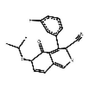 N#CC1[N]C=C2C=CC(OC(F)F)C(=O)C2=C1c1cccc(F)c1